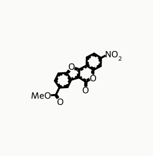 COC(=O)c1ccc2oc3c4ccc([N+](=O)[O-])cc4oc(=O)c3c2c1